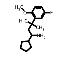 COc1ccc(F)cc1C(C)(C)CC(N)C1CCCC1